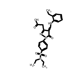 CCc1ccccc1NC=C1C(=O)N(c2ccc(S(=O)(=O)N(CC)CC)cc2)N=C1CC(=O)O